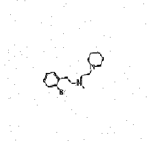 CN(CCc1ccccc1Br)CCN1CCCCC1